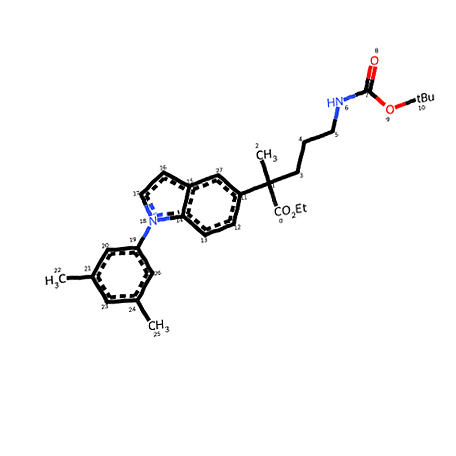 CCOC(=O)C(C)(CCCNC(=O)OC(C)(C)C)c1ccc2c(ccn2-c2cc(C)cc(C)c2)c1